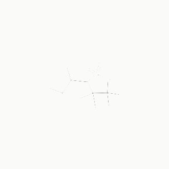 CCC(C)C1C(C)(C)C(C)(C)OS1(=O)=O